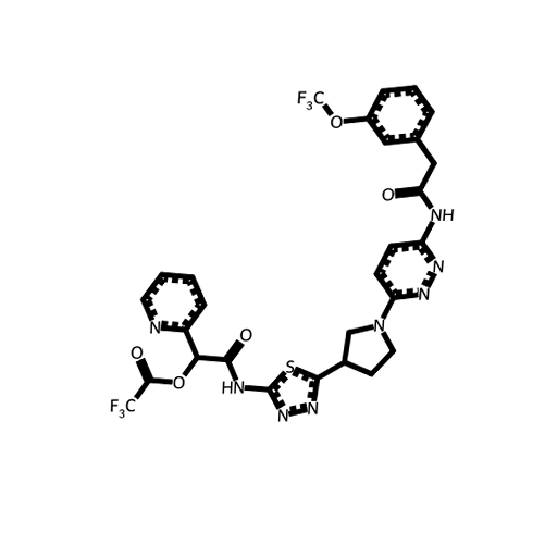 O=C(Cc1cccc(OC(F)(F)F)c1)Nc1ccc(N2CCC(c3nnc(NC(=O)C(OC(=O)C(F)(F)F)c4ccccn4)s3)C2)nn1